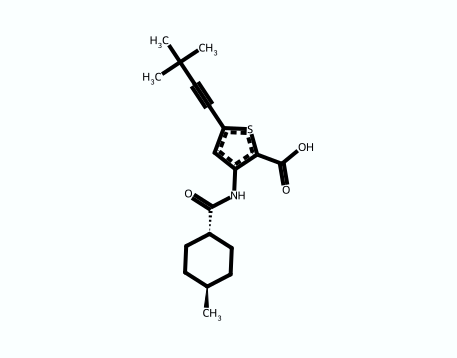 CC(C)(C)C#Cc1cc(NC(=O)[C@H]2CC[C@H](C)CC2)c(C(=O)O)s1